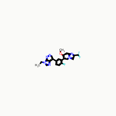 CCn1cnc2c(-c3ccc(F)c(-c4cn5cc(C(F)F)nc5cc4OC)c3)cnnc21